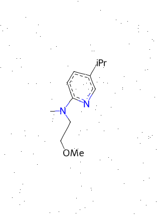 COCCN(C)c1ccc(C(C)C)cn1